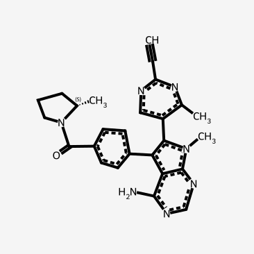 C#Cc1ncc(-c2c(-c3ccc(C(=O)N4CCC[C@@H]4C)cc3)c3c(N)ncnc3n2C)c(C)n1